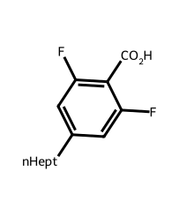 CCCCCCCc1cc(F)c(C(=O)O)c(F)c1